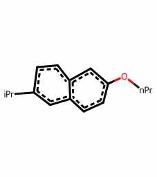 CCCOc1ccc2cc(C(C)C)ccc2c1